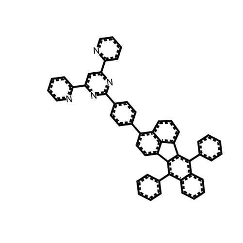 c1ccc(-c2c3c(c(-c4ccccc4)c4ccccc24)-c2ccc(-c4ccc(-c5nc(-c6ccccn6)cc(-c6ccccn6)n5)cc4)c4cccc-3c24)cc1